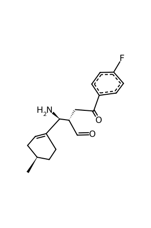 C[C@H]1CC=C([C@@H](N)[C@@H](C=O)CC(=O)c2ccc(F)cc2)CC1